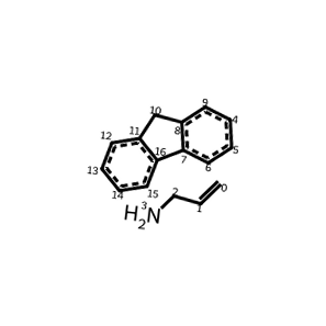 C=CCN.c1ccc2c(c1)Cc1ccccc1-2